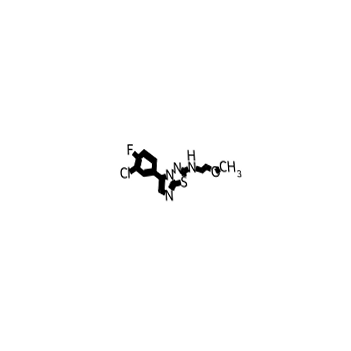 COCCNc1nn2c(-c3ccc(F)c(Cl)c3)cnc2s1